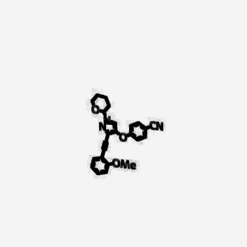 COc1ccccc1C#Cc1nn(C2CCCCO2)cc1Oc1ccc(C#N)cc1